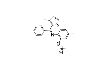 Cc1ccc(N=C(c2ccccc2)c2sccc2C)c(O[SiH](C)C)c1